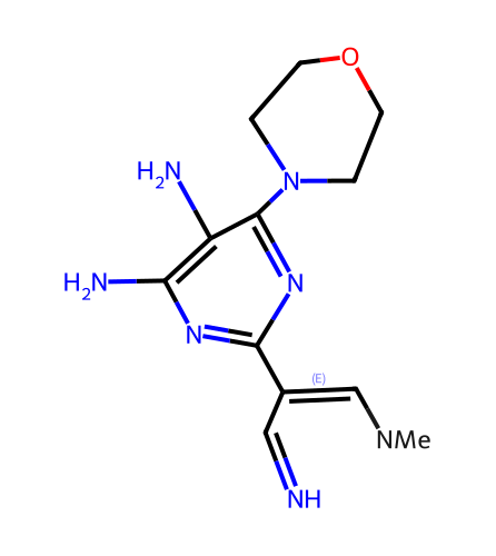 CN/C=C(\C=N)c1nc(N)c(N)c(N2CCOCC2)n1